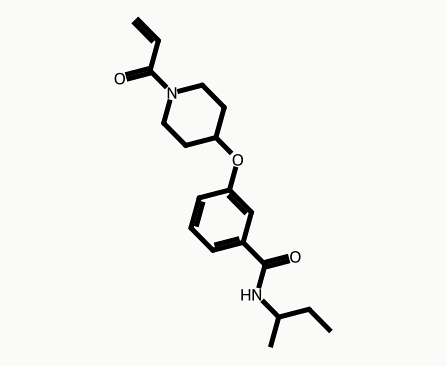 C=CC(=O)N1CCC(Oc2cccc(C(=O)NC(C)CC)c2)CC1